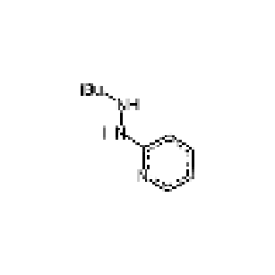 CCC(C)NNc1ccccn1